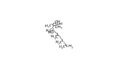 CC(C)=CCC/C(C)=C/CC/C(C)=C/CCC(C)(O)CCc1c(C)cc(O)c(O)c1C